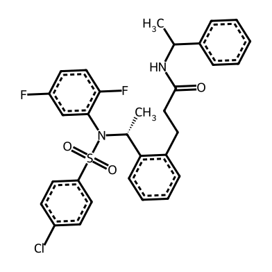 CC(NC(=O)CCc1ccccc1[C@@H](C)N(c1cc(F)ccc1F)S(=O)(=O)c1ccc(Cl)cc1)c1ccccc1